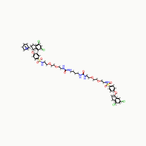 O=C(NCCCCNC(=O)NCCOCCOCCNS(=O)(=O)c1ccc(O[C@H]2c3cc(Cl)cc(Cl)c3C[C@@H]2N2CC3CCC2CC3)cc1)NCCOCCOCCNS(=O)(=O)c1ccc(O[C@@H]2CCc3c(Cl)cc(Cl)cc32)cc1